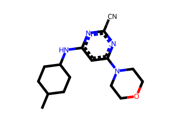 CC1CCC(Nc2cc(N3CCOCC3)nc(C#N)n2)CC1